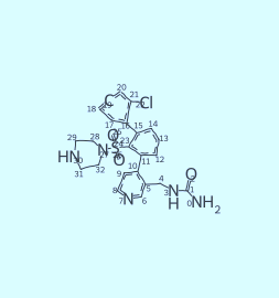 NC(=O)NCc1cnccc1-c1cccc(-c2ccccc2Cl)c1S(=O)(=O)N1CCNCC1